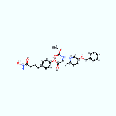 CC(C)(C)OC(=O)N[C@H](Cc1ccc(OCc2ccccc2)cn1)C(=O)Oc1ccc(CCCC(=O)NO)cc1